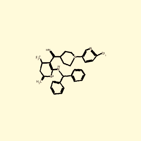 C=C1CC(C(F)(F)F)C(C(=N)C2CCN(c3ccc(C(F)(F)F)nc3)CC2)=C(NC(c2ccccc2)c2ccccc2)N1